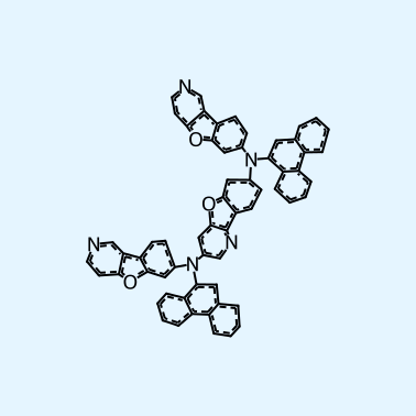 c1ccc2c(c1)cc(N(c1ccc3c(c1)oc1ccncc13)c1ccc3c(c1)oc1cc(N(c4ccc5c(c4)oc4ccncc45)c4cc5ccccc5c5ccccc45)cnc13)c1ccccc12